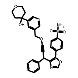 NS(=O)(=O)c1ccc(-c2ocnc2C(C#COCc2cncc(C3(O)CCOCC3)c2)c2ccccc2)cc1